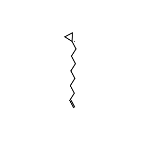 C=CCCCCCCC[C]1CC1